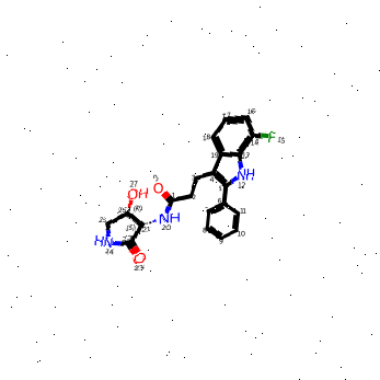 O=C(CCc1c(-c2ccccc2)[nH]c2c(F)cccc12)N[C@@H]1C(=O)NC[C@H]1O